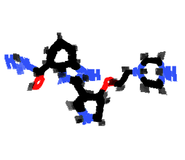 NC(=O)c1cccc2[nH]c(-c3cnccc3OCCN3CCNCC3)nc12